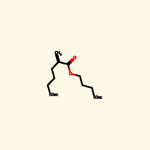 C=C(CCCCCCCCCCCCC)C(=O)OCCCCCCCCCCCCC